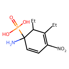 CCC1=C([N+](=O)[O-])C=CC(N)(P(=O)(O)O)C1CC